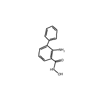 Nc1c(C(=O)NO)cccc1-c1ccccc1